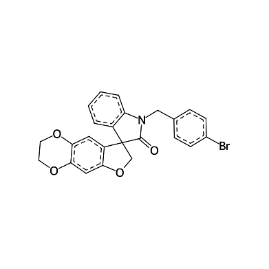 O=C1N(Cc2ccc(Br)cc2)c2ccccc2C12COc1cc3c(cc12)OCCO3